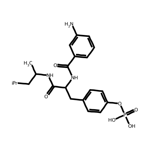 CC(C)CC(C)NC(=O)C(Cc1ccc(OP(=O)(O)O)cc1)NC(=O)c1cccc(N)c1